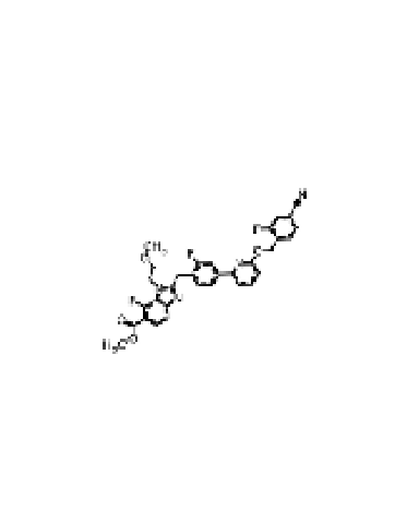 COCCn1c(Cc2ccc(-c3cccc(OCc4ccc(C#N)cc4F)n3)cc2F)nc2ccc(C(=O)OC)c(F)c21